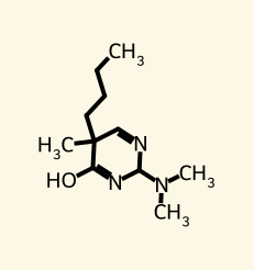 CCCCC1(C)C=NC(N(C)C)N=C1O